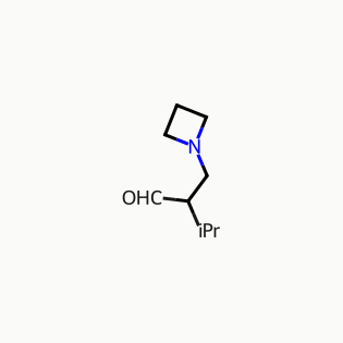 CC(C)C(C=O)CN1CCC1